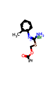 Br.Cc1ccccc1/N=C(\N)SCOC(=O)C(C)C